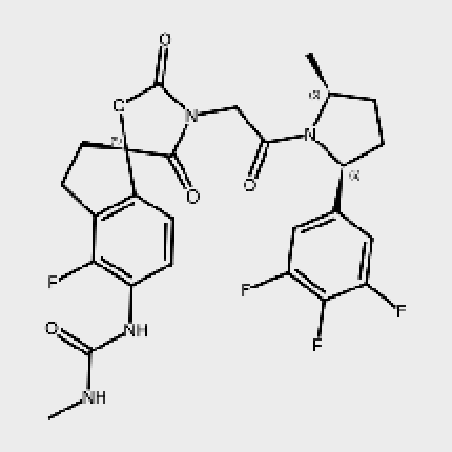 CNC(=O)Nc1ccc2c(c1F)CC[C@]21OC(=O)N(CC(=O)N2[C@@H](C)CC[C@H]2c2cc(F)c(F)c(F)c2)C1=O